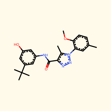 COc1ccc(C)cc1-n1nnc(C(=O)Nc2cc(O)cc(C(C)(C)C)c2)c1C